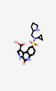 O=C(O)c1c[nH]c2c(=O)[nH]c3ccc(S(=O)(=O)N(CC4CCCN4)C4CC4)cc3c12